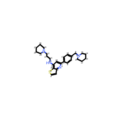 c1cc2nc(-c3ccc(CN4CCCCC4)cc3)cc(NCCCN3CCCCC3)c2s1